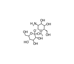 C[C@]1(O[C@H]2O[C@H](CO)C(O)C(O)C2N)OC(CO)[C@@H](O)C(O)[C@@H]1O